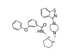 O=C(NC[C@H]1CCCC[C@H]1CN1CCN(c2nsc3ccccc23)CC1)c1cccc(Oc2ccccc2)c1